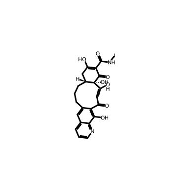 O=C(NI)C1=C(O)C[C@H]2CCCc3cc4cccnc4c(O)c3C(=O)/C=C(\O)[C@]2(O)C1=O